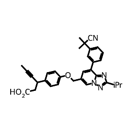 CC#CC(CC(=O)O)c1ccc(OCc2cc(-c3cccc(C(C)(C)C#N)c3)c3nc(C(C)C)nn3c2)cc1